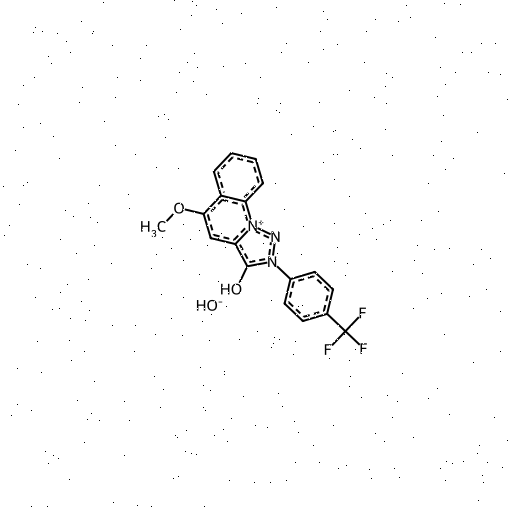 COc1cc2c(O)n(-c3ccc(C(F)(F)F)cc3)n[n+]2c2ccccc12.[OH-]